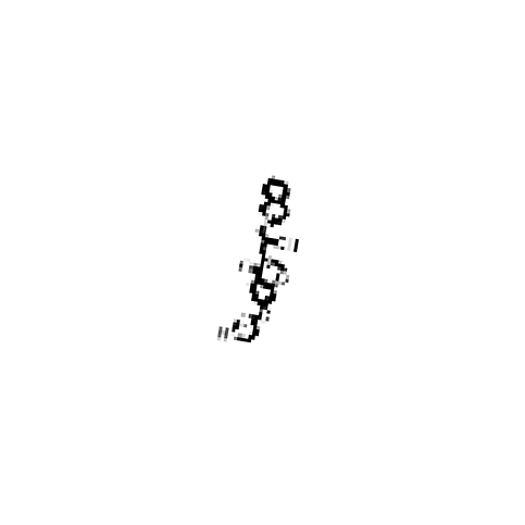 O=C1c2ccc(OC3CCNCC3)cc2OCCN1CC(O)CN1CCc2ccccc2C1